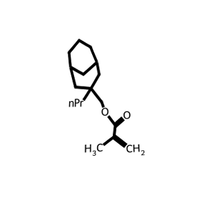 C=C(C)C(=O)OCC1(CCC)CC2CCCC(C2)C1